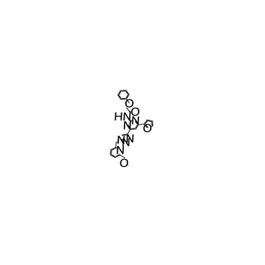 COCc1cccc(Cn2cc(-c3cc(-c4ccco4)nc(NC(=O)COc4ccccc4)n3)nn2)n1